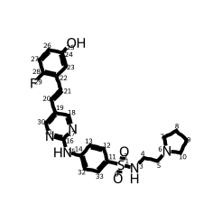 O=S(=O)(NCCN1CCCC1)c1ccc(Nc2ncc(C=Cc3cc(O)ccc3F)cn2)cc1